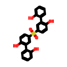 O=S(=O)(c1ccc(O)c(-c2ccccc2O)c1)c1ccc(O)c(-c2ccccc2O)c1